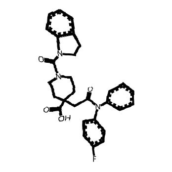 O=C(N1CCC(CC(=O)N(c2ccccc2)c2ccc(F)cc2)(C(=O)O)CC1)N1CCc2ccccc21